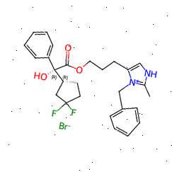 Cc1[nH]cc(CCCOC(=O)[C@](O)(c2ccccc2)[C@@H]2CCC(F)(F)C2)[n+]1Cc1ccccc1.[Br-]